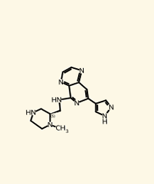 CN1CCNC[C@H]1CNc1nc(-c2cn[nH]c2)cc2nccnc12